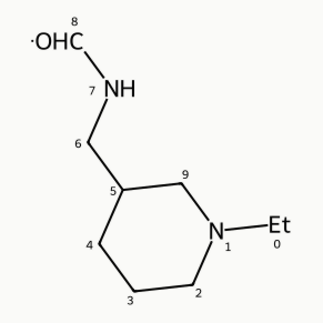 CCN1CCCC(CN[C]=O)C1